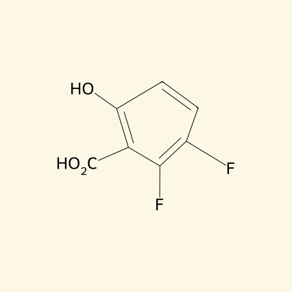 O=C(O)c1c(O)ccc(F)c1F